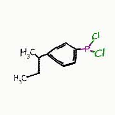 CCC(C)c1ccc(P(Cl)Cl)cc1